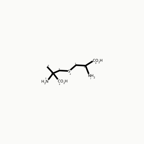 CC(N)(CSCC(N)C(=O)O)C(=O)O